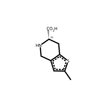 Cc1cc2c(s1)C[C@@H](C(=O)O)NC2